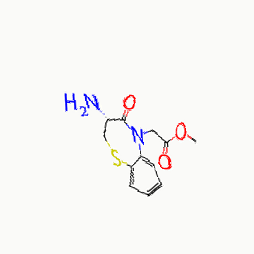 COC(=O)CN1C(=O)[C@@H](N)CSc2ccccc21